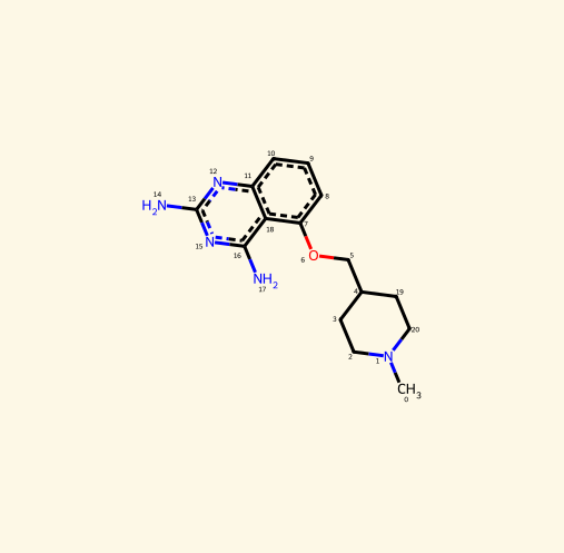 CN1CCC(COc2cccc3nc(N)nc(N)c23)CC1